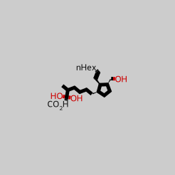 CCCCCCC=C[C@@H]1[C@@H](CCCCC(C)C(O)(O)C(=O)O)CC[C@H]1CO